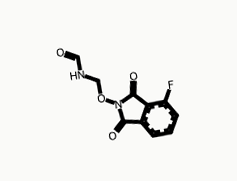 O=CNCON1C(=O)c2cccc(F)c2C1=O